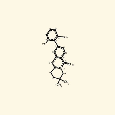 CC1(C)CCc2nc3cc(-c4c(F)cccc4F)ccc3c(=O)n2C1